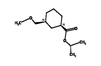 COC[C@H]1CCC[C@@H](C(=O)OC(C)C)C1